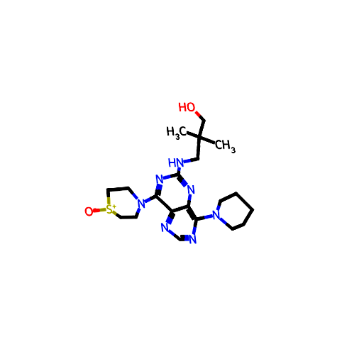 CC(C)(CO)CNc1nc(N2CC[S+]([O-])CC2)c2ncnc(N3CCCCC3)c2n1